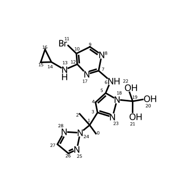 CC(C)(c1cc(Nc2ncc(Br)c(NC3CC3)n2)n(C(O)(O)O)n1)n1nccn1